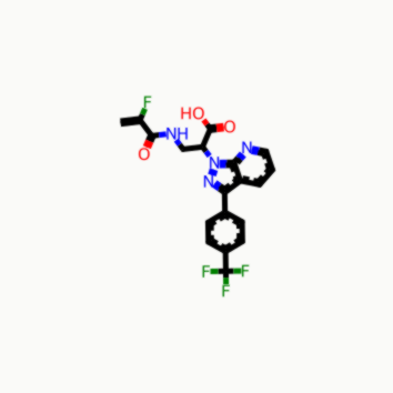 C=C(F)C(=O)NCC(C(=O)O)n1nc(-c2ccc(C(F)(F)F)cc2)c2cccnc21